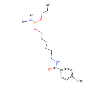 [C-]#[N+]CCOP(OCCCCCCNC(=O)c1ccc(C=O)cc1)N(C(C)C)C(C)C